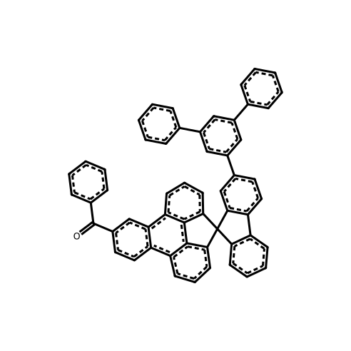 O=C(c1ccccc1)c1ccc2c(c1)c1cccc3c1c1c(cccc21)C31c2ccccc2-c2ccc(-c3cc(-c4ccccc4)cc(-c4ccccc4)c3)cc21